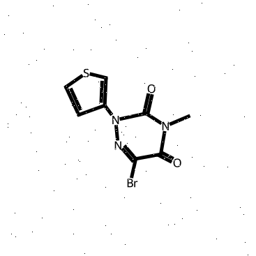 Cn1c(=O)c(Br)nn(-c2ccsc2)c1=O